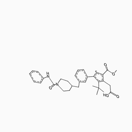 COC(=O)c1sc(-c2cccc(CC3CCN(C(=O)Nc4ccccc4)CC3)c2)c(C(C)(C)C)c1CC(=O)O